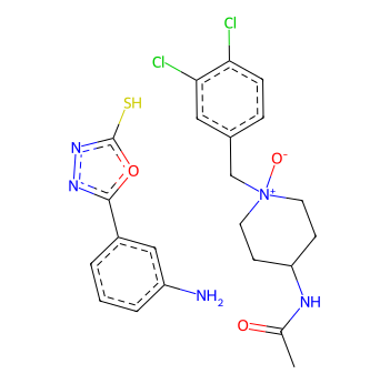 CC(=O)NC1CC[N+]([O-])(Cc2ccc(Cl)c(Cl)c2)CC1.Nc1cccc(-c2nnc(S)o2)c1